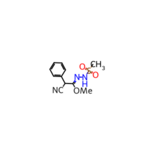 COC(=NNS(C)(=O)=O)C(C#N)c1ccccc1